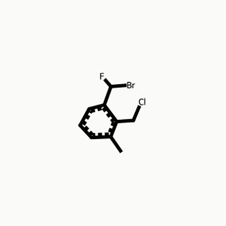 Cc1cccc(C(F)Br)c1CCl